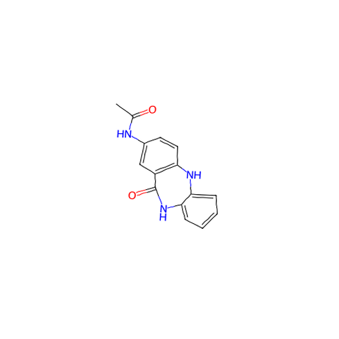 CC(=O)Nc1ccc2c(c1)C(=O)Nc1ccccc1N2